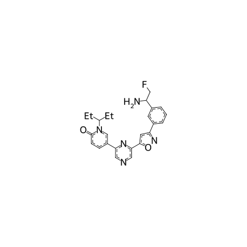 CCC(CC)n1cc(-c2cncc(-c3cc(-c4cccc(C(N)CF)c4)no3)n2)ccc1=O